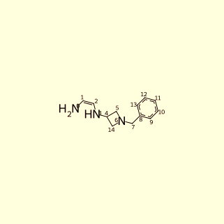 N/C=C\NC1CN(Cc2ccccc2)C1